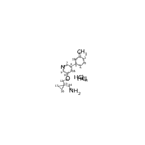 Cc1cccc(-c2cncc(OCC3(CN)CC3)c2)c1.Cl.Cl